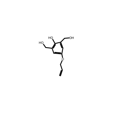 C=CCOc1cc(CO)c(O)c(CO)c1